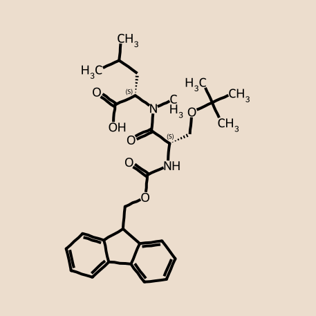 CC(C)C[C@@H](C(=O)O)N(C)C(=O)[C@H](COC(C)(C)C)NC(=O)OCC1c2ccccc2-c2ccccc21